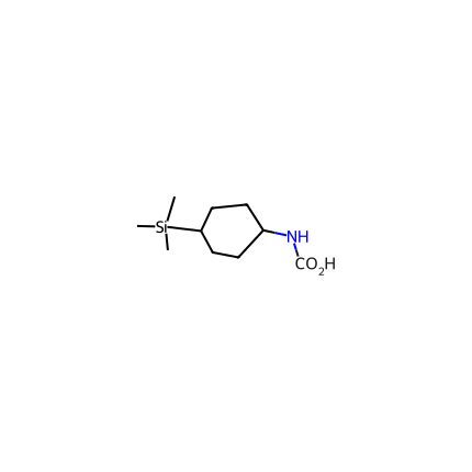 C[Si](C)(C)C1CCC(NC(=O)O)CC1